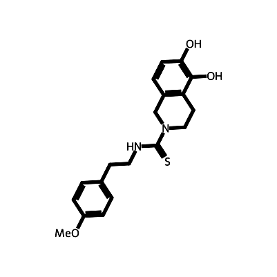 COc1ccc(CCNC(=S)N2CCc3c(ccc(O)c3O)C2)cc1